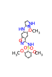 COc1cc2c(NS(=O)(=O)c3c(OC)cccc3OC)noc2cc1Nc1cc[nH]n1